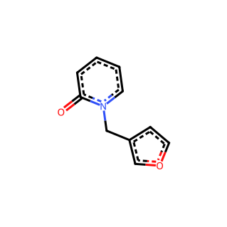 O=c1ccccn1Cc1ccoc1